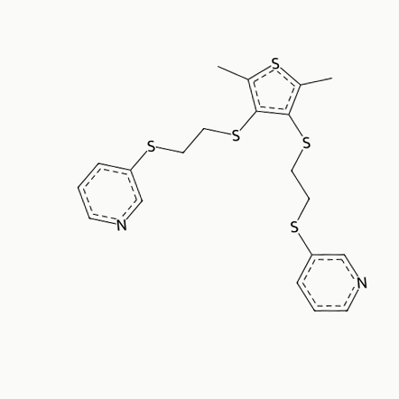 Cc1sc(C)c(SCCSc2cccnc2)c1SCCSc1cccnc1